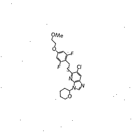 COCCOc1cc(F)c(CSc2nc3c(cc2Cl)ncn3C2CCCCO2)c(F)c1